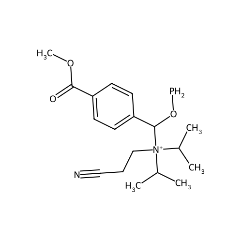 COC(=O)c1ccc(C(OP)[N+](CCC#N)(C(C)C)C(C)C)cc1